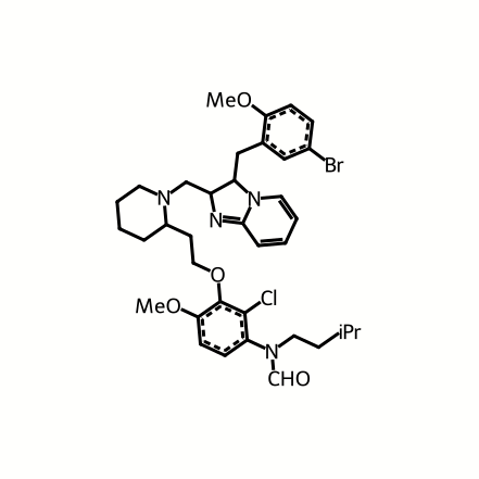 COc1ccc(Br)cc1CC1C(CN2CCCCC2CCOc2c(OC)ccc(N(C=O)CCC(C)C)c2Cl)N=C2C=CC=CN21